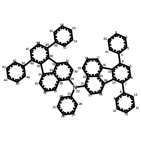 c1ccc(-c2ccc(-c3ccccc3)c3c2-c2cccc4c(N(c5ccccc5)c5ccc6c7c(cccc57)-c5c(-c7ccccc7)ccc(-c7ccccc7)c5-6)ccc-3c24)cc1